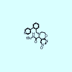 CC(C)(C)NC(=O)C1c2c[n+]([O-])cnc2OCCN1Cc1ccccc1-c1ccncc1